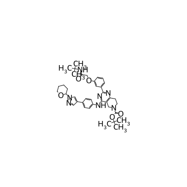 CC(C)(C)NC(=O)COc1cccc(-c2nc3c(c(Nc4ccc(-c5cnn(C6CCCCO6)c5)cc4)n2)CN(C(=O)OC(C)(C)C)CC3)c1